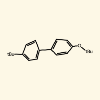 CC(C)(C)Oc1ccc(-c2ccc(C(C)(C)C)cc2)cc1